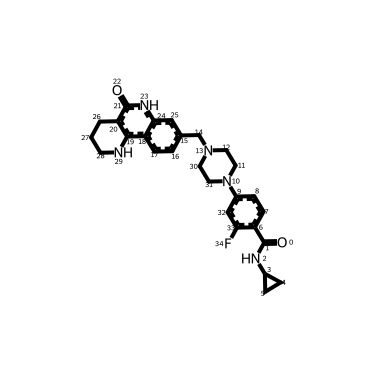 O=C(NC1CC1)c1ccc(N2CCN(Cc3ccc4c5c(c(=O)[nH]c4c3)CCCN5)CC2)cc1F